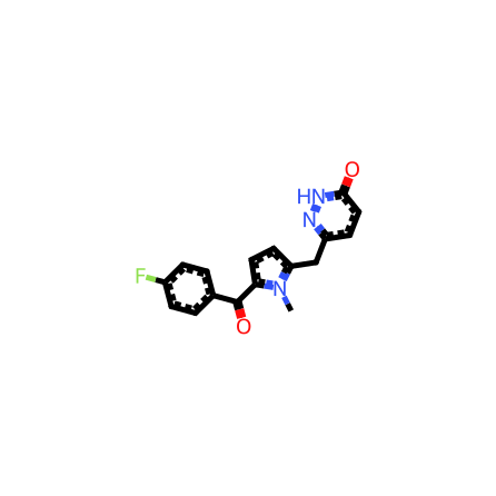 Cn1c(Cc2ccc(=O)[nH]n2)ccc1C(=O)c1ccc(F)cc1